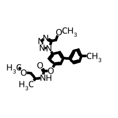 COCc1nnnn1-c1cc(OC(=O)NC(C)COC)cc(-c2ccc(C)cc2)c1